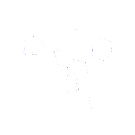 O=C(Nc1cc(N2CCCCC2CCO)nc2c(C3CC3)cnn12)c1cccnc1